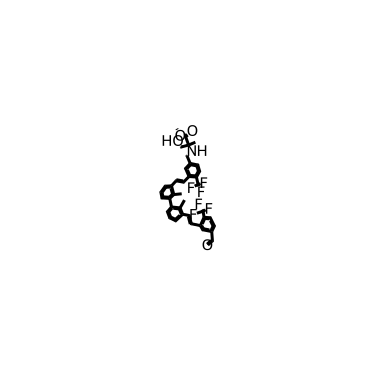 COC(=O)C(C)(CO)NCc1ccc(C(F)(F)F)c(/C=C/c2cccc(-c3cccc(/C=C/c4cc(C=O)ccc4C(F)(F)F)c3C)c2C)c1